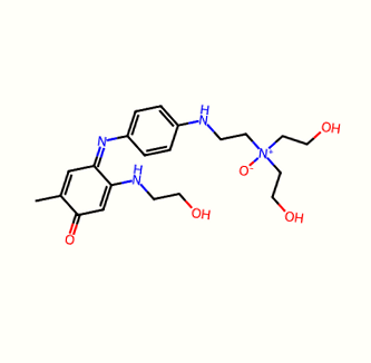 CC1=C/C(=N/c2ccc(NCC[N+]([O-])(CCO)CCO)cc2)C(NCCO)=CC1=O